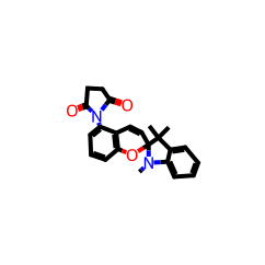 CN1c2ccccc2C(C)(C)C12C=Cc1c(cccc1N1C(=O)CCC1=O)O2